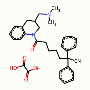 CN(C)CC1Cc2ccccc2N(C(=O)CCCCC(C#N)(c2ccccc2)c2ccccc2)C1.O=C(O)C(=O)O